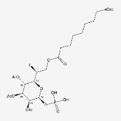 CCCCCCCCCCCCCCCCCC(=O)OC[C@H](F)[C@H]1O[C@@H](OP(=O)(O)O)[C@@H](OC(C)=O)[C@@H](OC(C)=O)[C@@H]1OC(C)=O